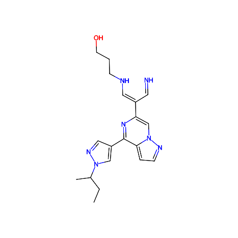 CCC(C)n1cc(-c2nc(/C(C=N)=C/NCCCO)cn3nccc23)cn1